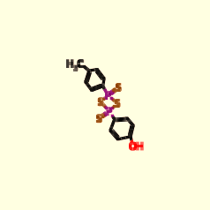 Cc1ccc(P2(=S)SP(=S)(c3ccc(O)cc3)S2)cc1